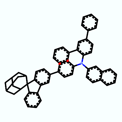 c1ccc(-c2ccc(N(c3ccc(-c4ccc5c(c4)-c4ccccc4C54C5CC6CC(C5)CC4C6)cc3)c3ccc4ccccc4c3)c(-c3ccccc3)c2)cc1